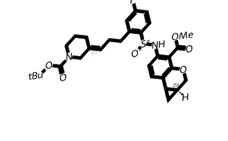 COC(=O)c1c(N[S+]([O-])c2ccc(F)cc2CC/C=C2\CCCN(C(=O)OC(C)(C)C)C2)ccc2c1OC[C@H]1CC21